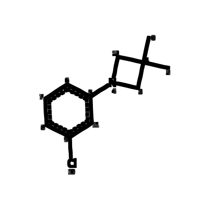 CC1(C)CN(c2cccc(Cl)c2)C1